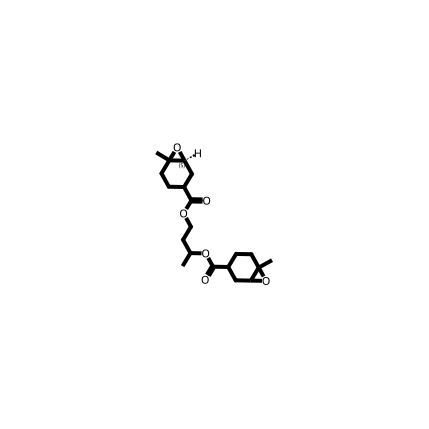 CC(CCOC(=O)C1CCC2(C)O[C@H]2C1)OC(=O)C1CCC2(C)OC2C1